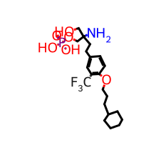 NC(CO)(CCc1ccc(OCCCC2CCCCC2)c(C(F)(F)F)c1)COP(=O)(O)O